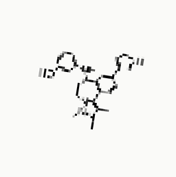 CC1=C2c3ccc(C4=CCNC4)cc3C(Nc3cccc(O)c3)CCN2N(C)N1